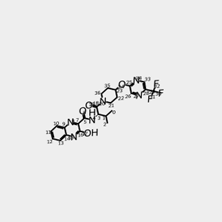 CC(C)[C@H](NC(=O)c1nc2ccccc2nc1O)C(=O)N1CCC(Oc2cnc(C(F)(F)F)cn2)CC1